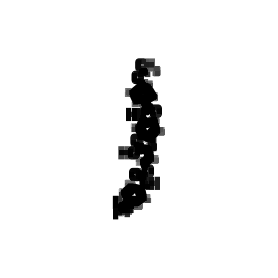 CCOc1ccc(C(=O)Nc2ccc(SC(CCOC(=O)Nc3ccc(C(F)(F)F)cc3)C(=O)O)cc2)cc1